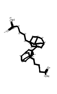 O=C(O)CCCCC12CC3CC(C1)CC(C14CC5CC(CC(CCCCC(=O)O)(C5)C1)C4)(C3)C2